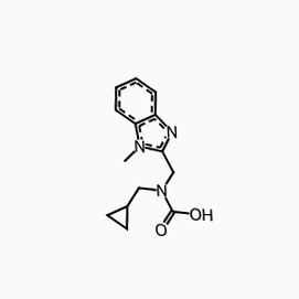 Cn1c(CN(CC2CC2)C(=O)O)nc2ccccc21